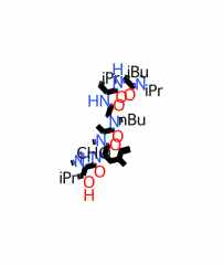 C=CC(C)CC(NC(=O)C(C(O)C(C)C)N(C)C=O)C(=O)N(C)C(C)C(=O)N(CCCC)CC(=O)NC(CC(C)C)C(=O)NC(C(=O)N(C)C(C)C)C(C)CC